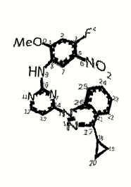 COc1cc(F)c([N+](=O)[O-])cc1Nc1nccc(-n2nc(C3CC3)c3ccccc32)n1